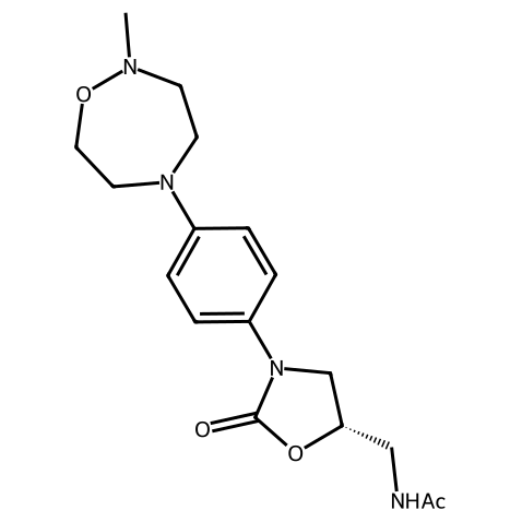 CC(=O)NC[C@H]1CN(c2ccc(N3CCON(C)CC3)cc2)C(=O)O1